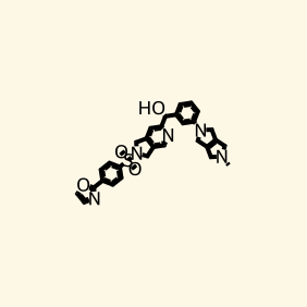 CN1CC2=C(C1)CN(c1cccc(C(O)c3cc4c(cn3)CN(S(=O)(=O)c3ccc(-c5ncco5)cc3)C4)c1)C2